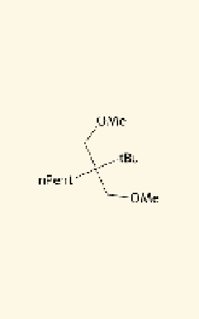 CCCCCC(COC)(COC)C(C)(C)C